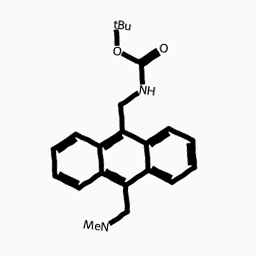 CNCc1c2ccccc2c(CNC(=O)OC(C)(C)C)c2ccccc12